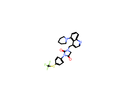 O=C1CN(Cc2ccnc3cccc(N4CCCCC4)c23)C(=O)N1c1ccc(SC(F)(F)F)cc1